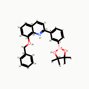 CC1(C)OB(c2cccc(-c3ccc4cccc(OCc5ccccc5)c4n3)c2)OC1(C)C